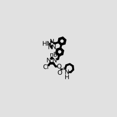 CCCCc1nc(Cl)c(COC(=O)[C@@H]2CCCCCN2)n1Cc1ccc(-c2ccccc2-c2nn[nH]n2)cc1